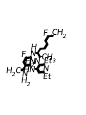 C=C/C(F)=C\C=C/CC(Nc1nc(Nc2cc(CC)nc(CC)c2)c(C(=C)N)cc1F)[C@H](C)N